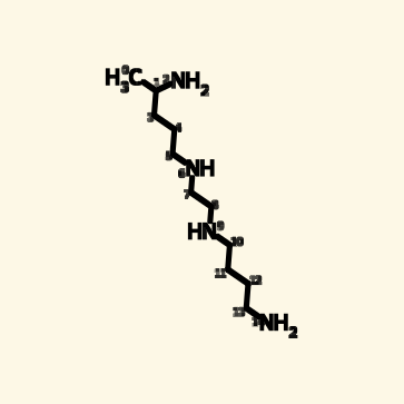 CC(N)CCCNCCNCCCCN